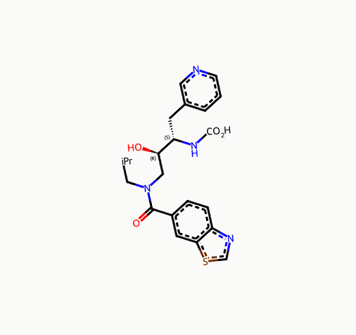 CC(C)CN(C[C@@H](O)[C@H](Cc1cccnc1)NC(=O)O)C(=O)c1ccc2ncsc2c1